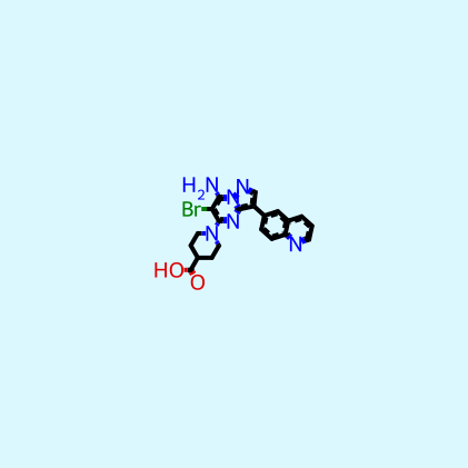 Nc1c(Br)c(N2CCC(C(=O)O)CC2)nc2c(-c3ccc4ncccc4c3)cnn12